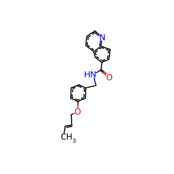 CC=CCOc1cccc(CNC(=O)c2ccc3ncccc3c2)c1